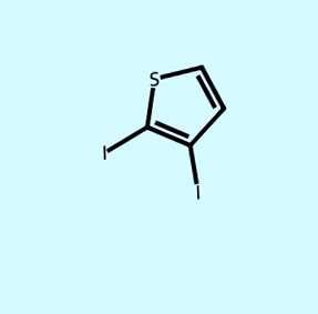 Ic1ccsc1I